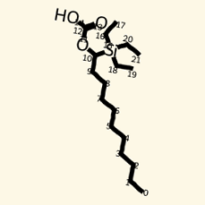 CCCCCCCCCCC(OC(=O)O)[Si](CC)(CC)CC